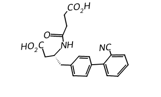 N#Cc1ccccc1-c1ccc(C[C@H](CC(=O)O)NC(=O)CCC(=O)O)cc1